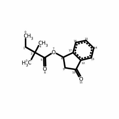 CCC(C)(C)C(=O)OC1CC(=O)c2ccccc21